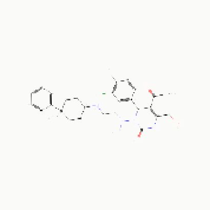 COC(=O)C1=C(CO)NC(=O)N(N(C=O)CCNC2CCC(C#N)(c3ccccc3)CC2)C1c1ccc(F)c(F)c1